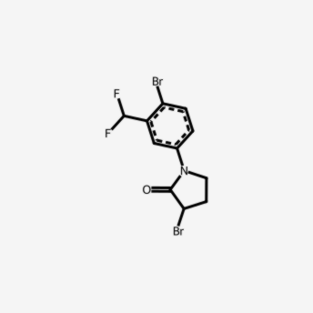 O=C1C(Br)CCN1c1ccc(Br)c(C(F)F)c1